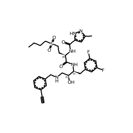 C#Cc1cccc(CNC[C@H](O)[C@H](Cc2cc(F)cc(F)c2)NC(=O)[C@@H](CCS(=O)(=O)CCCC)NC(=O)c2cc(C)n[nH]2)c1